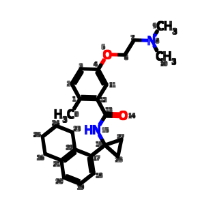 Cc1ccc(OCCN(C)C)cc1C(=O)NC1(c2cccc3c2CCCC3)CC1